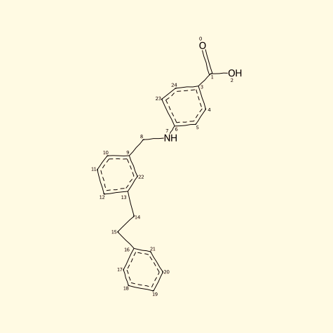 O=C(O)c1ccc(NCc2cccc(CCc3ccccc3)c2)cc1